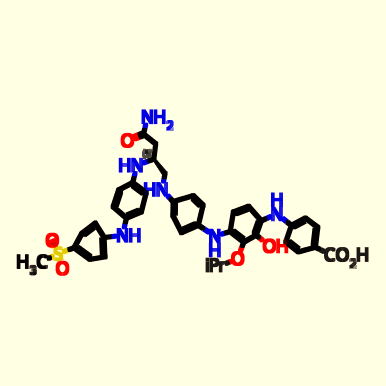 CC(C)Oc1c(Nc2ccc(NC[C@H](CC(N)=O)Nc3ccc(Nc4ccc(S(C)(=O)=O)cc4)cc3)cc2)ccc(Nc2ccc(C(=O)O)cc2)c1O